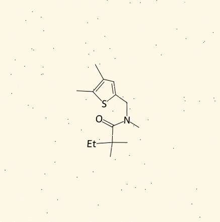 CCC(C)(C)C(=O)N(C)Cc1cc(C)c(C)s1